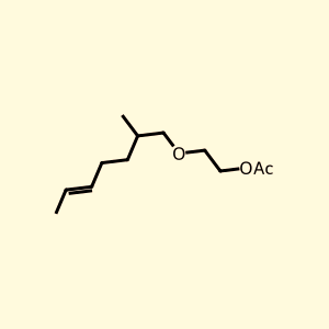 CC=CCCC(C)COCCOC(C)=O